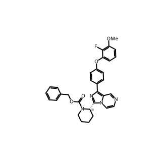 COc1cccc(Oc2ccc(-c3nc([C@@H]4CCCCN4C(=O)OCc4ccccc4)n4ccncc34)cc2)c1F